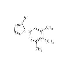 Cc1cccc(C)c1C.[V][C]1=CC=CC1